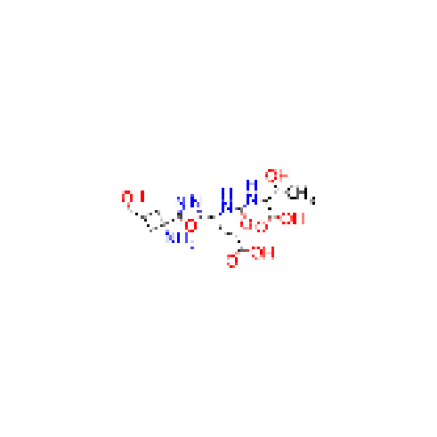 CC(O)C(NC(=O)NC(CCC(=O)O)c1nnc(C2(N)CC(CO)C2)o1)C(=O)O